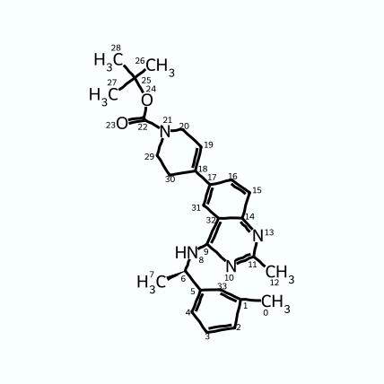 Cc1cccc([C@@H](C)Nc2nc(C)nc3ccc(C4=CCN(C(=O)OC(C)(C)C)CC4)cc23)c1